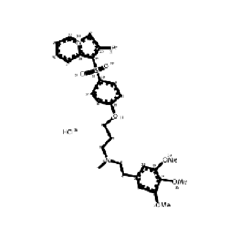 COc1cc(CCN(C)CCCOc2ccc(S(=O)(=O)c3c(C(C)C)cn4ccccc34)cc2)cc(OC)c1OC.Cl